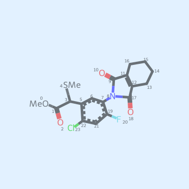 COC(=O)C(SC)c1cc(N2C(=O)C3=C(CCCC3)C2=O)c(F)cc1Cl